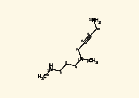 CNCCCN(C)CC#CCN